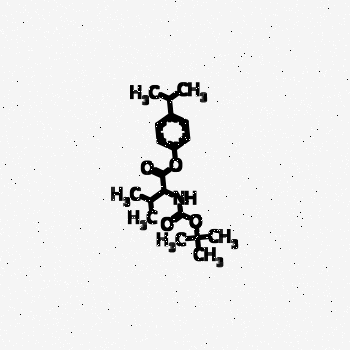 CC(C)c1ccc(OC(=O)C(NC(=O)OC(C)(C)C)C(C)C)cc1